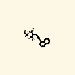 CCC1(C)OC(=O)C(=CC#Cc2cccc3ccccc23)C(=O)O1